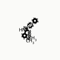 CN(C)c1cccc(-c2[nH]nc(N3CCN(c4ccccc4)CC3)c2N=C=O)c1